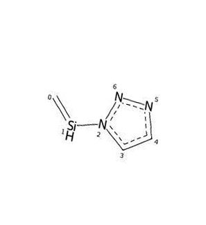 C=[SiH]n1ccnn1